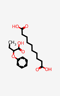 CCC(Oc1ccccc1)C(=O)O.O=C(O)CCCCCCCCC(=O)O